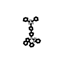 c1ccc(-c2nc(-c3ccccc3)nc(-c3ccc(-c4ccc(N5c6ccc7ccccc7c6-c6ccccc6-n6c5nc5ccccc56)cc4)cc3)n2)cc1